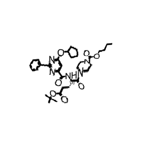 CCCCOC(=O)N1CCN(C(=O)[C@H](CCC(=O)OC(C)(C)C)NC(=O)c2cc(OC3CCCC3)nc(-c3ccccc3)n2)CC1